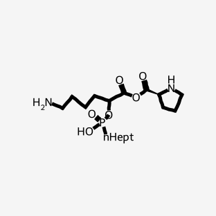 CCCCCCCP(=O)(O)OC(CCCCN)C(=O)OC(=O)[C@@H]1CCCN1